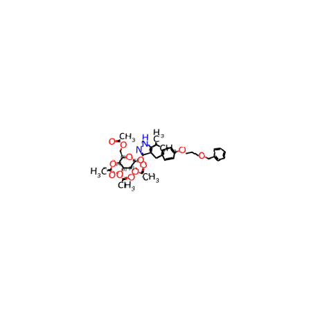 CC(=O)OC[C@H]1O[C@@H](Oc2n[nH]c(C(C)C)c2Cc2ccc(OCCCOCc3ccccc3)cc2)[C@H](OC(C)=O)[C@@H](OC(C)=O)[C@@H]1OC(C)=O